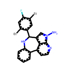 CCc1cc(C2Nc3ccccc3-c3ccnc4c3c2cn4N)c(CC)cc1F